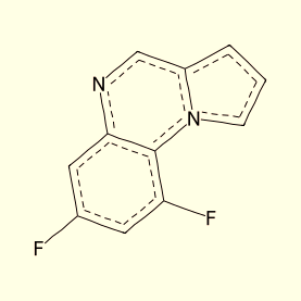 Fc1cc(F)c2c(c1)ncc1cccn12